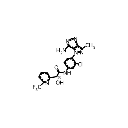 Cc1nn(-c2ccc(NC(=O)[C@H](O)c3cccc(C(F)(F)F)n3)cc2Cl)c2c(N)ncnc12